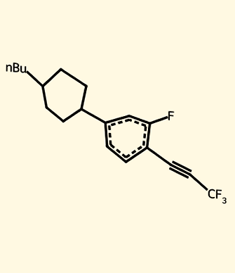 CCCCC1CCC(c2ccc(C#CC(F)(F)F)c(F)c2)CC1